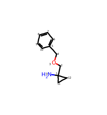 NC1(COCc2ccccc2)CC1